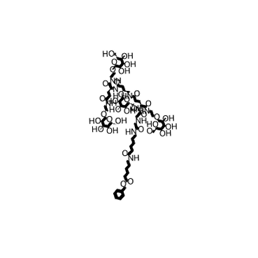 O=C(CCCCCNC(=O)CNCC(=O)N[C@@H](CCC(=O)NC[C@H](CC(=O)N[C@@H](CCC(=O)NCCO[C@H]1O[C@H](CO)[C@@H](O)[C@H](O)[C@@H]1O)C(=O)NCCO[C@H]1O[C@H](CO)[C@@H](O)[C@H](O)[C@@H]1O)O[C@H]1O[C@H](CO)[C@@H](O)[C@H](O)[C@@H]1O)C(=O)NCCO[C@H]1O[C@H](CO)[C@@H](O)[C@H](O)[C@@H]1O)NCCCCCC(=O)OCc1ccccc1